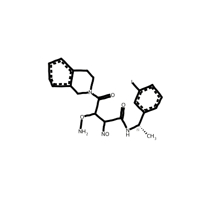 C[C@H](NC(=O)C(N=O)C(ON)C(=O)N1CCc2ccccc2C1)c1cccc(I)c1